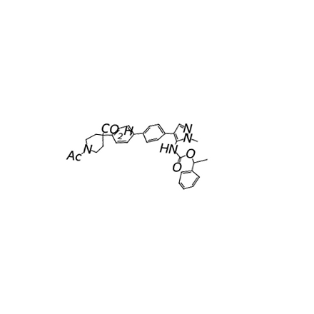 CC(=O)N1CCC(C(=O)O)(c2ccc(-c3ccc(-c4cnn(C)c4NC(=O)OC(C)c4ccccc4)cc3)cc2)CC1